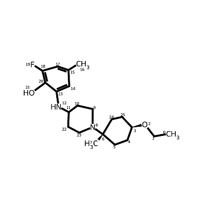 CCO[C@H]1CC[C@](C)(N2CCC(Nc3cc(C)cc(F)c3O)CC2)CC1